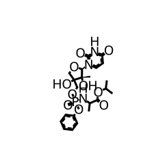 CC(C)OC(=O)C(C)NP(=O)(OCC1(O)CO[C@@H](n2ccc(=O)[nH]c2=O)[C@]1(C)O)Oc1ccccc1